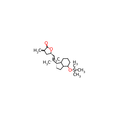 C=C1C[C@H](C[C@@H](C)[C@H]2CCC3C(O[Si](C)(C)C)CCC[C@@]32C)OC1=O